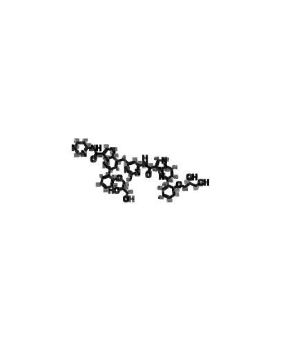 Cc1nc(Cc2cc(-c3ccccc3OC[C@H](O)CO)nn3c(C(=O)Nc4ccncn4)cnc23)cc(NC(=O)c2cnc3ccc(-c4ccccc4OC[C@H](O)CO)nn23)n1